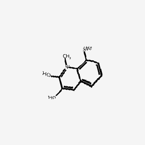 CSc1cccc2cc(O)c(O)[n+](C)c12